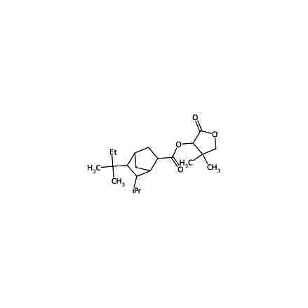 CCC(C)(C)C1C2CC(C(=O)OC3C(=O)OCC3(C)C)C(C2)C1C(C)C